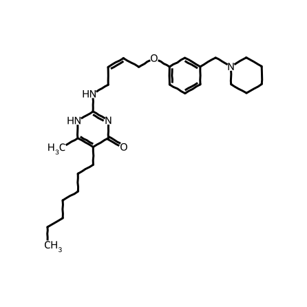 CCCCCCCc1c(C)[nH]c(NC/C=C\COc2cccc(CN3CCCCC3)c2)nc1=O